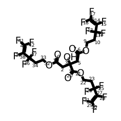 O=C(CC(O)(CC(=O)OCCC(F)(F)C(F)=C(F)F)C(=O)OCCC(F)(F)C(F)=C(F)F)OCCC(F)(F)C(F)=C(F)F